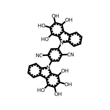 N#Cc1cc(-n2c3ccccc3c3c(O)c(O)c(O)c(O)c32)c(C#N)cc1-n1c2ccccc2c2c(O)c(O)c(O)c(O)c21